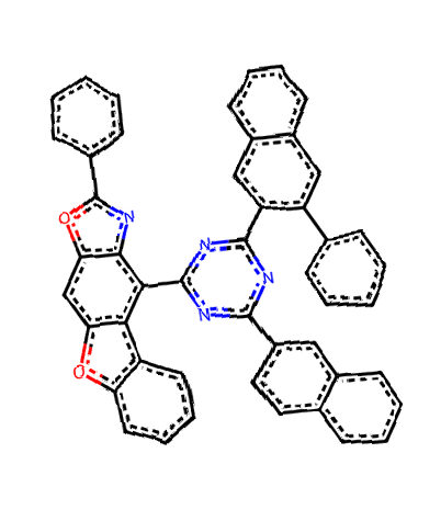 c1ccc(-c2nc3c(-c4nc(-c5ccc6ccccc6c5)nc(-c5cc6ccccc6cc5-c5ccccc5)n4)c4c(cc3o2)oc2ccccc24)cc1